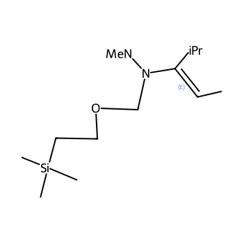 C/C=C(\C(C)C)N(COCC[Si](C)(C)C)NC